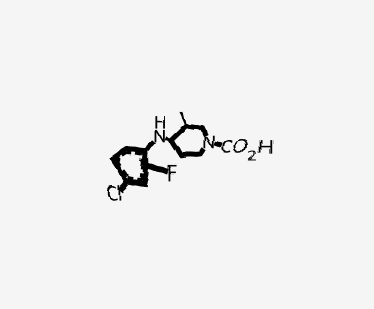 C[C@H]1CN(C(=O)O)CC[C@H]1Nc1ccc(Cl)cc1F